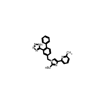 CCCCc1nc(-c2cccc(C)n2)cn1Cc1ccc(-c2ccccc2)c(-c2nnn[nH]2)c1